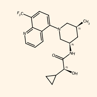 C[C@H]1C[C@@H](NC(=O)[C@@H](O)C2CC2)CN(c2ccc(C(F)(F)F)c3ncccc23)C1